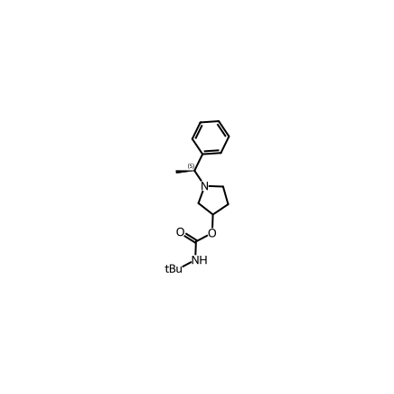 C[C@@H](c1ccccc1)N1CCC(OC(=O)NC(C)(C)C)C1